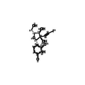 O=c1ccn([C@@H]2O[C@H](CO)[C@@H](O)[C@]2(O)C#CI)c(=O)[nH]1